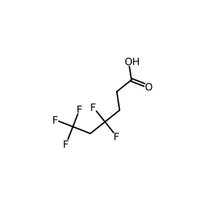 O=C(O)CCC(F)(F)CC(F)(F)F